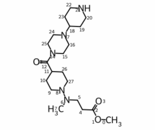 COC(=O)CCN(C)N1CCC(C(=O)N2CCN(C3CCNCC3)CC2)CC1